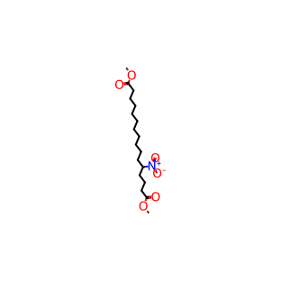 COC(=O)CCCCCCCCCCC(CCCC(=O)OC)[N+](=O)[O-]